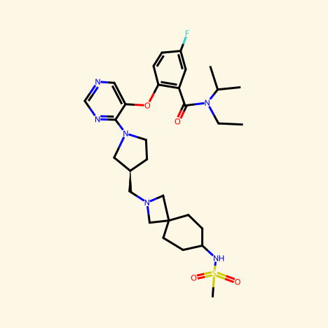 CCN(C(=O)c1cc(F)ccc1Oc1cncnc1N1CC[C@@H](CN2CC3(CCC(NS(C)(=O)=O)CC3)C2)C1)C(C)C